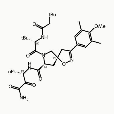 CCC[C@H](NC(=O)[C@@H]1C[C@]2(CC(c3cc(C)c(OC)c(C)c3)=NO2)CN1C(=O)[C@@H](NC(=O)CC(C)(C)C)C(C)(C)C)C(=O)C(N)=O